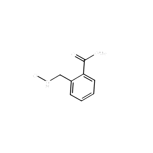 COC(=O)c1ccccc1CNCl